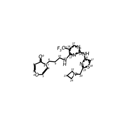 O=C1C=COC=CN1CCCNc1nc(Nc2csc(CN3CCC3)n2)ncc1C(F)(F)F